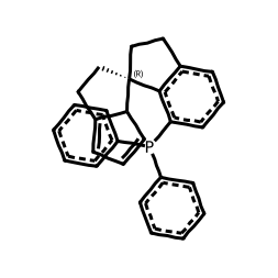 C1=CC2C(=C1)CC[C@@]21CCc2cccc(P(c3ccccc3)c3ccccc3)c21